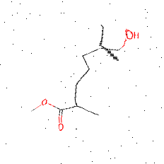 COC(=O)C(C)CCCC(C)(C)O